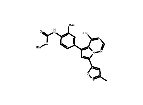 COc1cc(-c2cc(-c3cc(C)no3)n3ncnc(N)c23)ccc1NC(=O)OC(C)(C)C